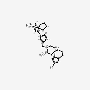 CCc1cc2c(s1)CCO[C@@]21CCN(Cc2cn(CC3(S(C)(=O)=O)CCCC3)nn2)[C@@H](C)C1